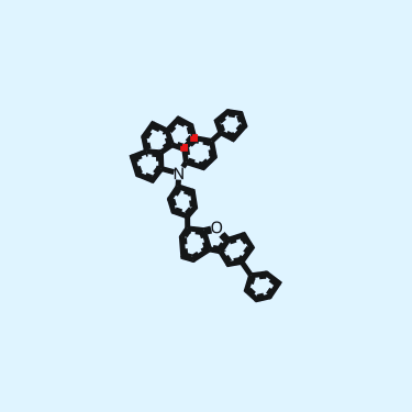 c1ccc(-c2ccc(N(c3ccc(-c4cccc5c4oc4ccc(-c6ccccc6)cc45)cc3)c3cccc4ccc5ccccc5c34)cc2)cc1